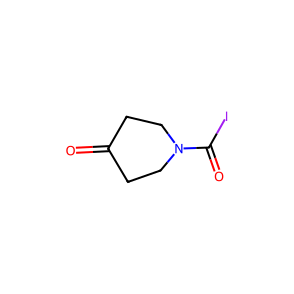 O=C1CCN(C(=O)I)CC1